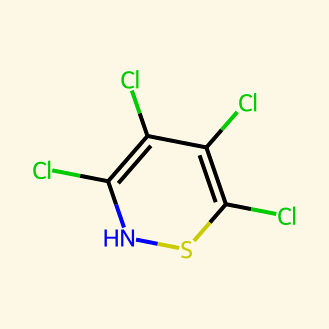 ClC1=C(Cl)C(Cl)=C(Cl)SN1